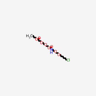 CCCCOC(=O)CCOCCOCCOC(=O)NCCOCCOCCCCCCCl